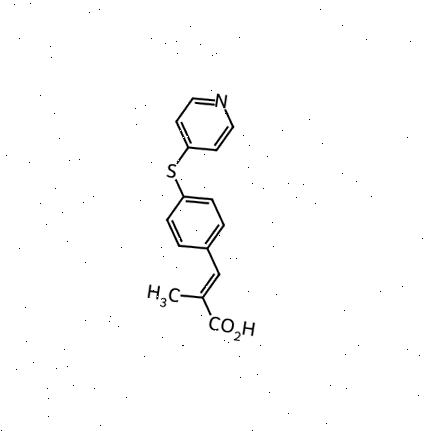 CC(=Cc1ccc(Sc2ccncc2)cc1)C(=O)O